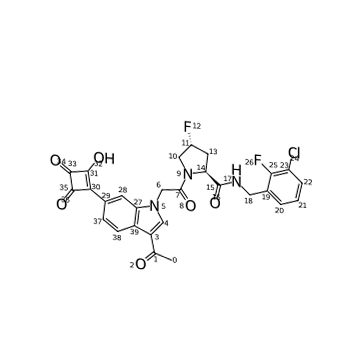 CC(=O)c1cn(CC(=O)N2C[C@H](F)C[C@H]2C(=O)NCc2cccc(Cl)c2F)c2cc(-c3c(O)c(=O)c3=O)ccc12